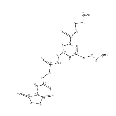 CCCCCCCCCCCCCC(=O)OC[C@@H](CNC(=O)CCC(=O)ON1C(=O)CCC1=O)OC(=O)CCCCCCCCCCCCC